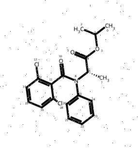 CC(C)OC(=O)[C@H](C)N(C(=O)c1c(Cl)cccc1Cl)c1ccccc1